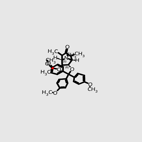 COc1ccc(C(O[C@H]2[C@@H](OC(C)=O)[C@@H]3C(C)C(=O)C(C)[C@H]2N3C)(c2ccc(OC)cc2)c2ccc(OC)cc2)cc1